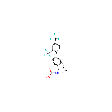 CC1(C)Cc2cc(-c3ccc(C(F)(F)F)cc3C(F)(F)F)ccc2C1NC(=O)O